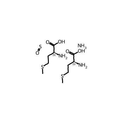 CSCC[C@H](N)C(=O)O.CSCC[C@H](N)C(=O)O.N.O=S